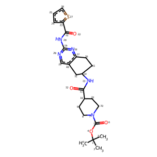 CC(C)(C)OC(=O)N1CCC(C(=O)NC2CCc3nc(NC(=O)c4cccs4)ncc3C2)CC1